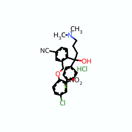 CN(C)CCCC(O)(c1ccc(F)cc1)c1ccc(C#N)cc1COc1ccc(Cl)cc1[N+](=O)[O-].Cl